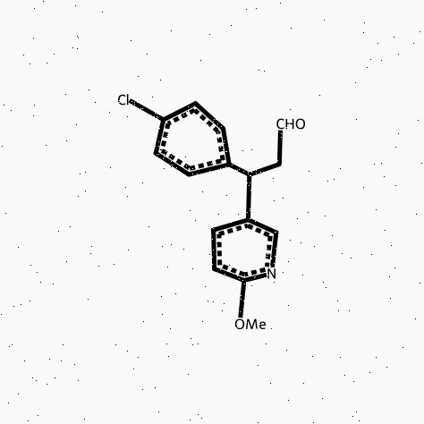 COc1ccc(C(CC=O)c2ccc(Cl)cc2)cn1